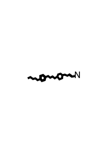 CCCCCc1ccc(CCCCC2CCC(CCC=CC#N)CC2)cc1